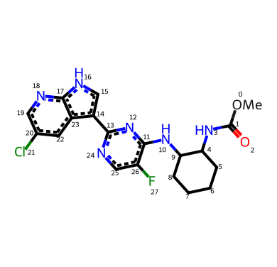 COC(=O)NC1CCCCC1Nc1nc(-c2c[nH]c3ncc(Cl)cc23)ncc1F